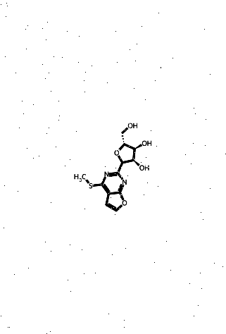 CSc1nc(C2O[C@H](CO)[C@@H](O)[C@H]2O)nc2occc12